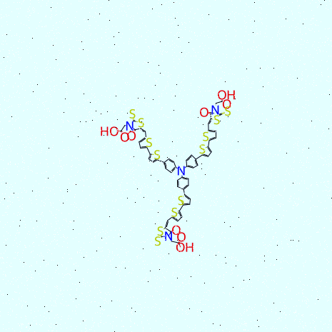 O=C(O)CN1C(=O)/C(=C/c2ccc(-c3ccc(-c4ccc(N(c5ccc(-c6ccc(-c7ccc(/C=C8/SC(=S)N(CC(=O)O)C8=O)s7)s6)cc5)c5ccc(-c6ccc(-c7ccc(/C=C8/SC(=S)N(CC(=O)O)C8=O)s7)s6)cc5)cc4)s3)s2)SC1=S